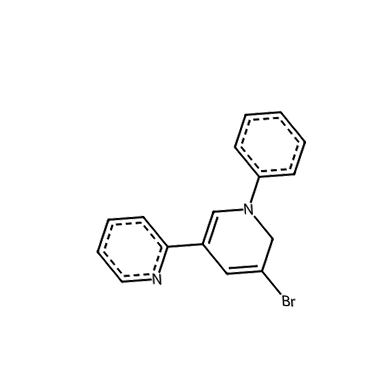 BrC1=CC(c2ccccn2)=CN(c2ccccc2)C1